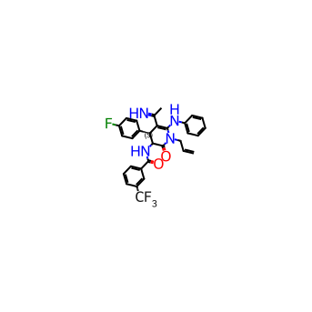 C=CCN1C(=O)C(NC(=O)c2cccc(C(F)(F)F)c2)[C@@H](c2ccc(F)cc2)C(C(C)=N)=C1Nc1ccccc1